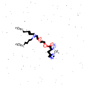 CCCCCCCCCCCCCCN(CCCCCCCCCCCCCC)CCOCCOC(=O)C(N)Cc1cncn1C